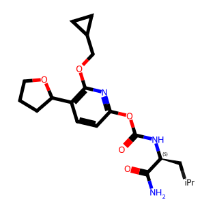 CC(C)C[C@H](NC(=O)Oc1ccc(C2CCCO2)c(OCC2CC2)n1)C(N)=O